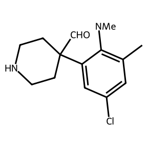 CNc1c(C)cc(Cl)cc1C1(C=O)CCNCC1